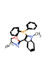 CN1C(P(c2ccccc2)c2ccccc2)=C(C2=N[C@@H](C(C)(C)C)CO2)C2=CC=CCC21